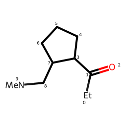 CCC(=O)C1CCCC1CNC